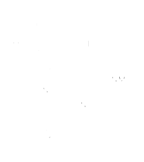 CNc1nc(Cl)nc(C2CC2)c1Cl